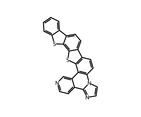 c1ccc2c(c1)sc1c2ccc2c3ccc4c(c5cnccc5c5nccn45)c3sc21